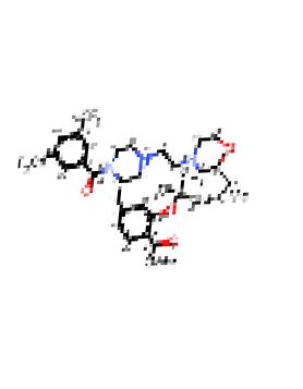 COC[C@@H]1CN(CCN2CCN(C(=O)c3cc(C(F)(F)F)cc(C(F)(F)F)c3)[C@H](Cc3ccc(C(=O)OC)c(O[Si](C)(C)C(C)(C)C)c3)C2)CCO1